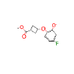 COC(=O)C1CC(Oc2ccc(F)cc2OC)C1